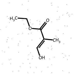 CCOC(=O)C(C)=CO